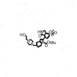 CC(C)(C)OC(=O)n1c(-c2ccc(OS(C)(=O)=O)c3c2C(=O)NC3)cc2cc(CN3CCN(CCO)CC3)ccc21